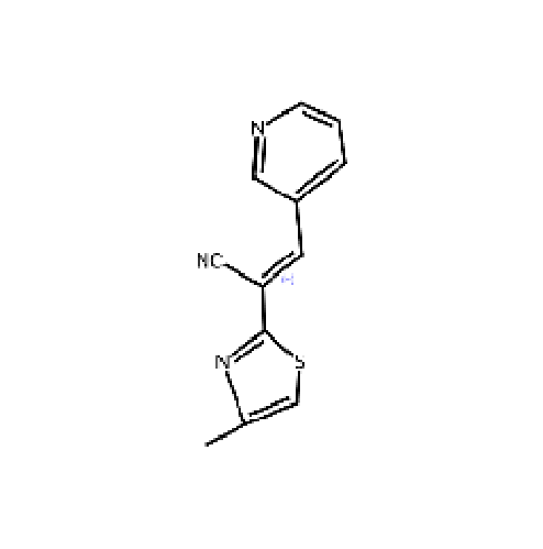 Cc1csc(/C(C#N)=C/c2cccnc2)n1